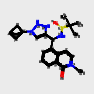 Cn1ccc2c([C@H](N[S@+]([O-])C(C)(C)C)C3=CN(C45CC(C4)C5)NN3)cccc2c1=O